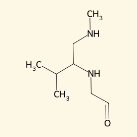 CNCC(NCC=O)C(C)C